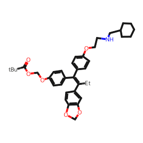 CCC(=C(c1ccc(OCCNCC2CCCCC2)cc1)c1ccc(OCOC(=O)C(C)(C)C)cc1)c1ccc2c(c1)OCO2